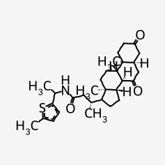 Cc1ccc(C(C)NC(=O)C[C@@H](C)C2CC[C@H]3[C@@H]4C(=O)C[C@@H]5CC(=O)CC[C@]5(C)[C@H]4CC[C@]23C)s1